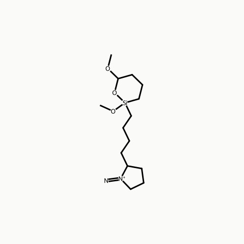 COC1CCC[Si](CCCCC2CCC[N+]2=[N-])(OC)O1